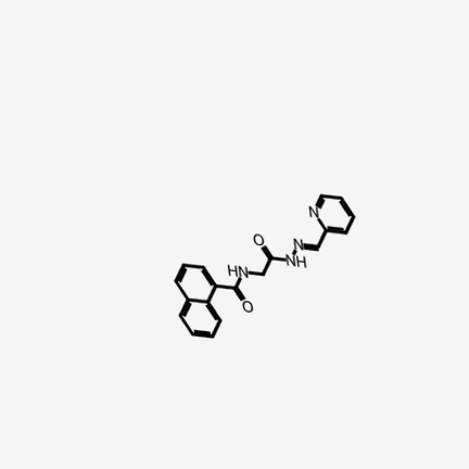 O=C(CNC(=O)c1cccc2ccccc12)NN=Cc1ccccn1